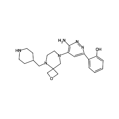 Nc1nnc(-c2ccccc2O)cc1N1CCN(CC2CCNCC2)C2(COC2)C1